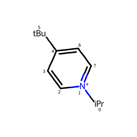 CC(C)[n+]1ccc(C(C)(C)C)cc1